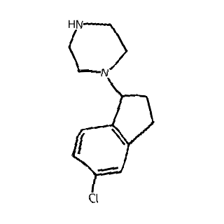 Clc1ccc2c(c1)CCC2N1CCNCC1